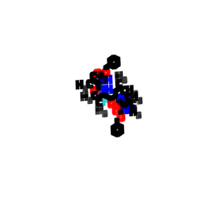 CC(C)CC(NC(=O)[C@@H](NC(=O)OCc1ccccc1)C(C)C)C(O)C(F)(F)C(NC(=O)[C@@H](NC(=O)OCc1ccccc1)C(C)C)C(C)C